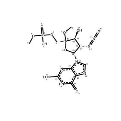 CO[C@]1(COP(=O)(O)OC)O[C@@H](n2cnc3c(=O)[nH]c(N)nc32)[C@@H](N=[N+]=[N-])[C@@H]1O